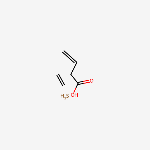 C=C.C=CCC(=O)O.S